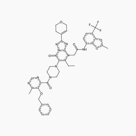 CCc1c(N2CCN(C(=O)c3ncnc(C)c3OCc3ccccc3)CC2)c(=O)n2nc(C3=CCOCC3)nc2n1CC(=O)Nc1ccc(C(F)(F)F)c2cc(C)oc12